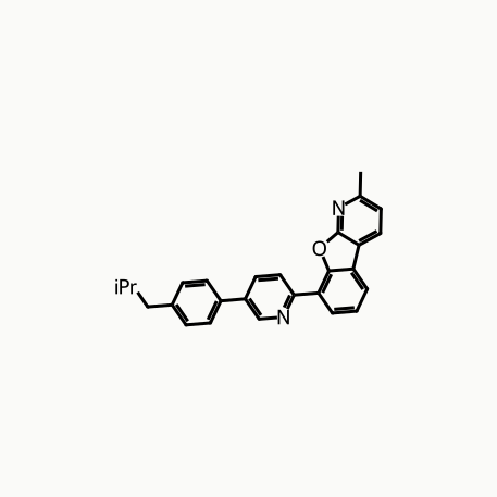 Cc1ccc2c(n1)oc1c(-c3ccc(-c4ccc(CC(C)C)cc4)cn3)cccc12